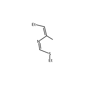 CC/C=C(C)\N=C/SCC